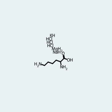 Cl.Cl.Cl.NCCCCC(N)C(=O)O.[KH].[MgH2].[NaH]